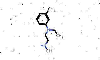 [CH]NCCN(CC)c1cccc(C)c1